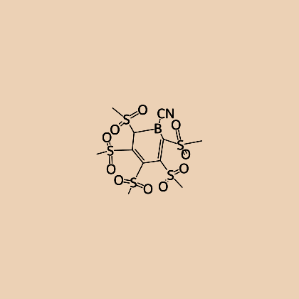 CS(=O)(=O)C1=C(S(C)(=O)=O)C(S(C)(=O)=O)=C(S(C)(=O)=O)C(S(C)(=O)=O)B1C#N